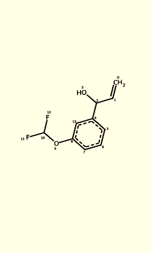 C=CC(O)c1cccc(OC(F)F)c1